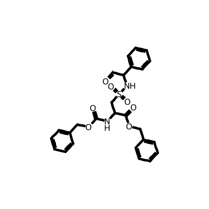 O=[C]C(NS(=O)(=O)CC(NC(=O)OCc1ccccc1)C(=O)OCc1ccccc1)c1ccccc1